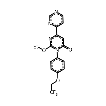 CCOc1nc(-c2ccncn2)cc(=O)n1-c1ccc(OCC(F)(F)F)cc1